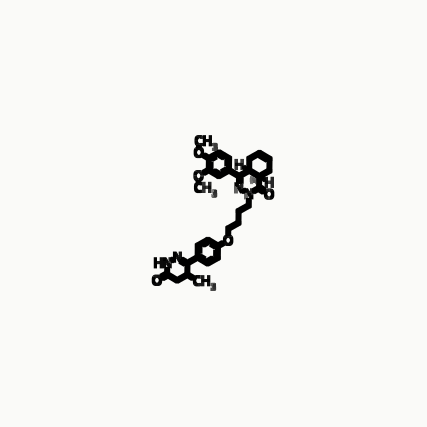 COc1ccc(C2=NN(CCCCOc3ccc(C4=NNC(=O)CC4C)cc3)C(=O)[C@H]3CC=CC[C@@H]23)cc1OC